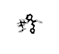 Cl.[2H]C([2H])(NCCC)C([2H])(O)C([2H])([2H])Oc1ccccc1C(=O)/C=C/c1ccccc1